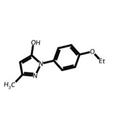 CCOc1ccc(-n2nc(C)cc2O)cc1